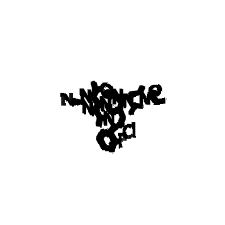 C=CC(=O)N1CC(C)N(c2nc(=O)n(-c3c(C(C)C)nc(C#N)nc3C(C)C)c3nc(-c4ccccc4F)c(Cl)cc23)CC1C